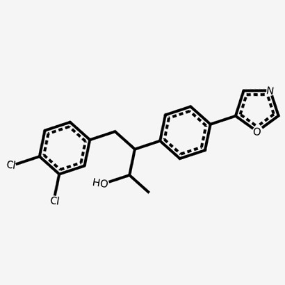 CC(O)C(Cc1ccc(Cl)c(Cl)c1)c1ccc(-c2cnco2)cc1